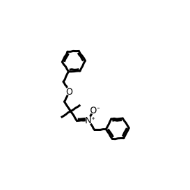 CC(C)(/C=[N+](\[O-])Cc1ccccc1)COCc1ccccc1